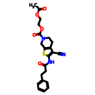 CC(=O)OCCOC(=O)N1CCc2c(sc(NC(=O)CCc3ccccc3)c2C#N)C1